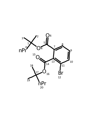 CCCC(C)(C)OC(=O)c1cccc(Br)c1C(=O)OC(C)(C)CCC